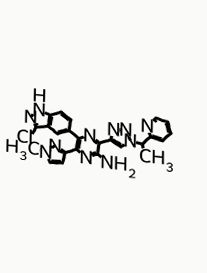 CC(c1ccccn1)n1cc(-c2nc(-c3ccc4[nH]nc(Cl)c4c3)c(-c3ccn(C)n3)nc2N)nn1